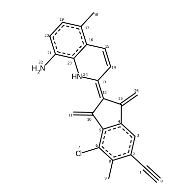 C#Cc1cc2c(c(Cl)c1C)C(=C)/C(=C1/C=Cc3c(C)ccc(N)c3N1)C2=C